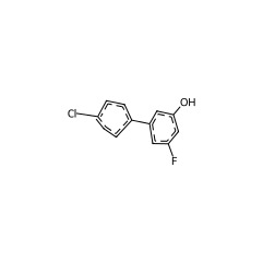 Oc1cc(F)cc(-c2ccc(Cl)cc2)c1